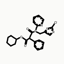 O=C(OC1CCCCC1)C(C(=O)N(Cc1cnc(Cl)s1)c1ccccn1)c1ccccc1